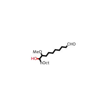 CCCCCCCCC(O)C(CCCCCCCC=O)OC